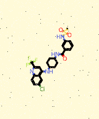 CS(=O)(=O)Nc1cccc(C(=O)NC2CCC(Nc3cc(C(F)(F)F)nc4ccc(Cl)cc34)CC2)c1